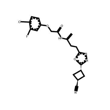 C=C(CCc1nnc([C@H]2C[C@H](C#N)C2)o1)NC(=O)COc1ccc(Cl)c(F)c1